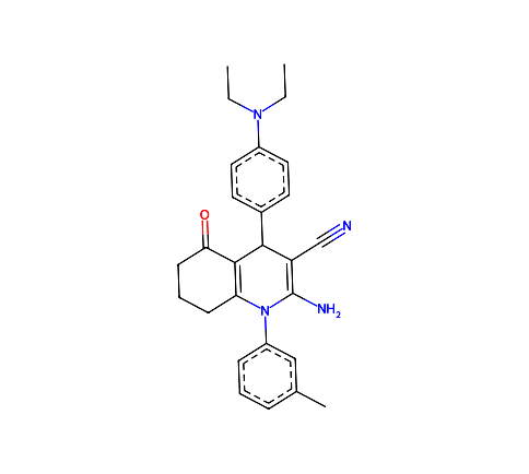 CCN(CC)c1ccc(C2C(C#N)=C(N)N(c3cccc(C)c3)C3=C2C(=O)CCC3)cc1